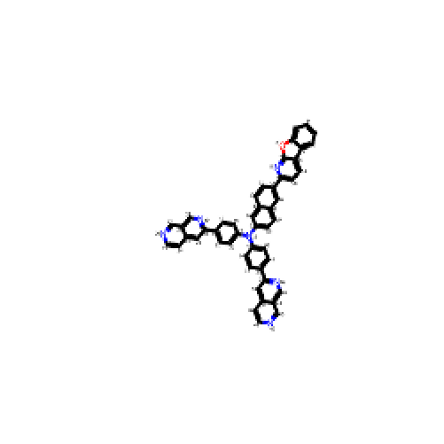 c1ccc2c(c1)oc1nc(-c3ccc4cc(N(c5ccc(-c6cc7ccncc7cn6)cc5)c5ccc(-c6cc7ccncc7cn6)cc5)ccc4c3)ccc12